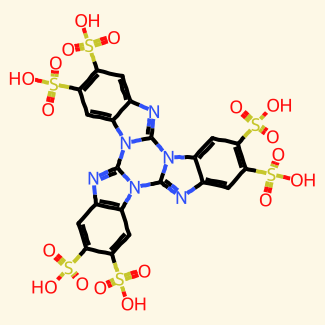 O=S(=O)(O)c1cc2nc3n(c2cc1S(=O)(=O)O)c1nc2cc(S(=O)(=O)O)c(S(=O)(=O)O)cc2n1c1nc2cc(S(=O)(=O)O)c(S(=O)(=O)O)cc2n31